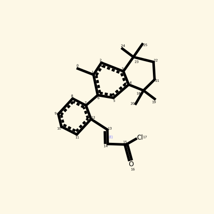 Cc1cc2c(cc1-c1ccccc1/C=C/C(=O)Cl)C(C)(C)CCC2(C)C